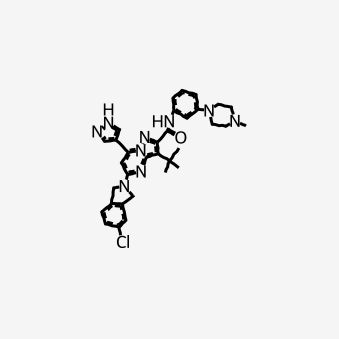 CN1CCN(c2cccc(NC(=O)c3nn4c(-c5cn[nH]c5)cc(N5Cc6ccc(Cl)cc6C5)nc4c3C(C)(C)C)c2)CC1